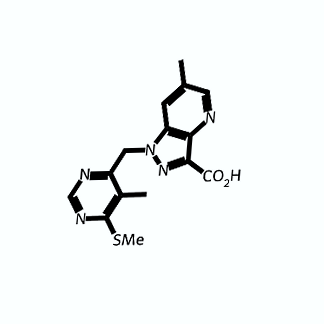 CSc1ncnc(Cn2nc(C(=O)O)c3ncc(C)cc32)c1C